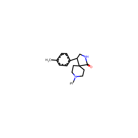 Cc1ccc(C2CNC(=O)C23CCN(C(C)C)CC3)cc1